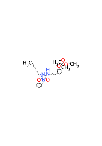 CCCCCCCn1nc(NCCCc2cccc(OC(C)(C)C(=O)OCC)c2)c(=O)n(Cc2ccccc2)c1=O